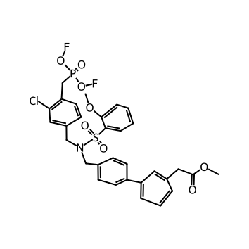 COC(=O)Cc1cccc(-c2ccc(CN(Cc3ccc(CP(=O)(OF)OF)c(Cl)c3)S(=O)(=O)c3ccccc3OC)cc2)c1